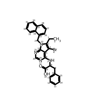 CCc1c(Br)c2c(NC(Cc3ccccc3)C(=O)O)ncnc2n1Cc1cccc2ccccc12